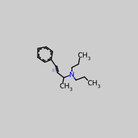 CCCN(CCC)C(C)/C=C/c1ccccc1